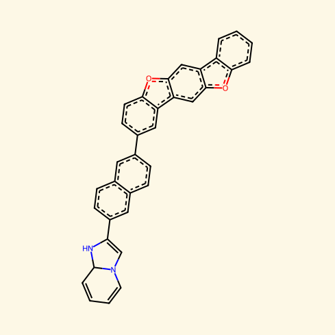 C1=CC2NC(c3ccc4cc(-c5ccc6oc7cc8c(cc7c6c5)oc5ccccc58)ccc4c3)=CN2C=C1